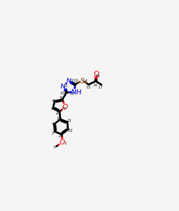 COc1ccc(-c2ccc(-c3nnc(SCC(C)=O)[nH]3)o2)cc1